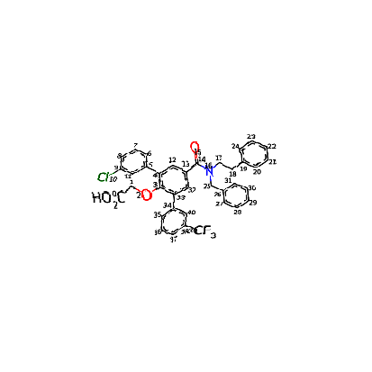 O=C(O)COc1c(-c2cccc(Cl)c2)cc(C(=O)N(CCc2ccccc2)Cc2ccccc2)cc1-c1cccc(C(F)(F)F)c1